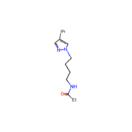 CCC(=O)NCCCCn1cc(C(C)C)cn1